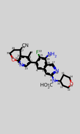 Cc1c(-c2cc3cc(N(C(=O)O)C4CCOCC4)ncc3c(N)c2F)cnc2c1C(C#N)CCO2